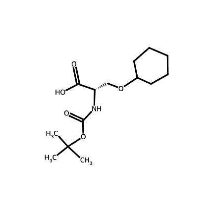 CC(C)(C)OC(=O)N[C@@H](COC1CCCCC1)C(=O)O